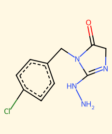 NNC1=NCC(=O)N1Cc1ccc(Cl)cc1